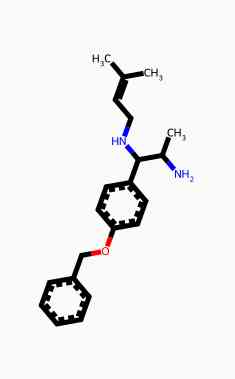 CC(C)=CCNC(c1ccc(OCc2ccccc2)cc1)C(C)N